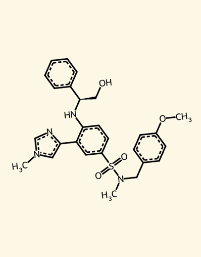 COc1ccc(CN(C)S(=O)(=O)c2ccc(N[C@H](CO)c3ccccc3)c(-c3cn(C)cn3)c2)cc1